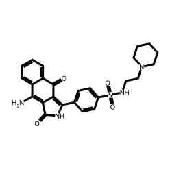 NC1=C2C(=O)NC(c3ccc(S(=O)(=O)NCCN4CCCCC4)cc3)=C2C(=O)c2ccccc21